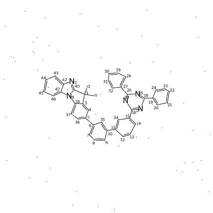 CC1(C)c2cc(-c3cccc(-c4cccc(-c5nc(-c6ccccc6)nc(-c6ccccc6)n5)c4)c3)ccc2-n2c1nc1ccccc12